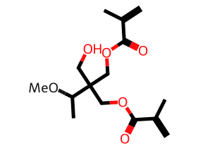 C=C(C)C(=O)OCC(CO)(COC(=O)C(=C)C)C(C)OC